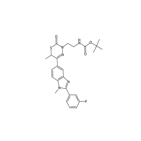 CC1SC(=O)N(CCNC(=O)OC(C)(C)C)N=C1c1ccc2c(c1)nc(-c1cccc(F)c1)n2C